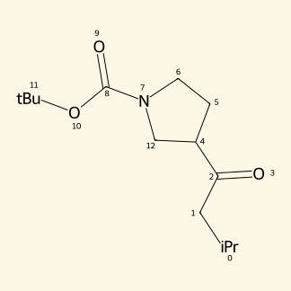 CC(C)CC(=O)C1CCN(C(=O)OC(C)(C)C)C1